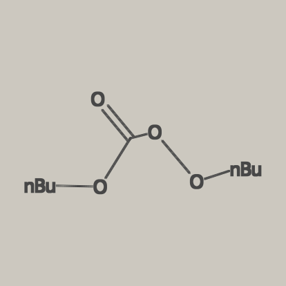 CCCCOOC(=O)OCCCC